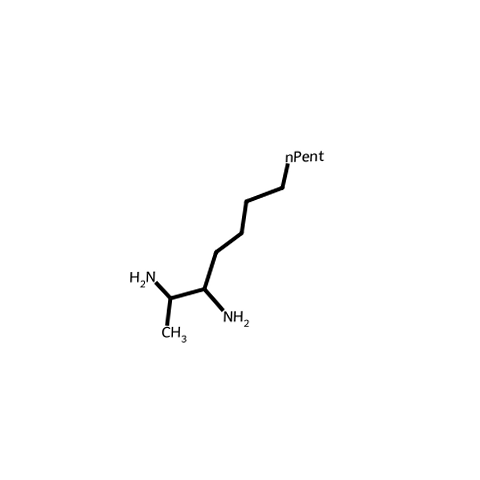 CCCCCCCCCC(N)C(C)N